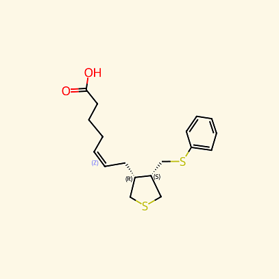 O=C(O)CCC/C=C\C[C@H]1CSC[C@H]1CSc1ccccc1